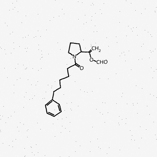 C=C(OC=O)C1CCCN1C(=O)CCCCCc1ccccc1